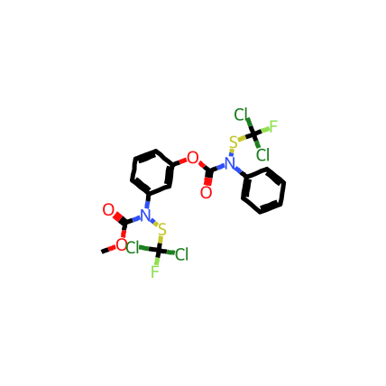 COC(=O)N(SC(F)(Cl)Cl)c1cccc(OC(=O)N(SC(F)(Cl)Cl)c2ccccc2)c1